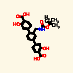 CC(C)(C)OC(=O)NCc1cc(-c2ccc(C(=O)O)c(O)c2)ccc1-c1ccc(C(=O)O)c(O)c1